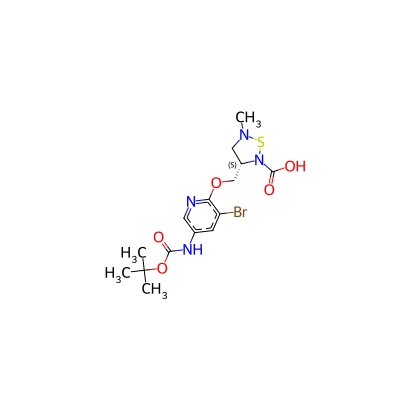 CN1C[C@@H](COc2ncc(NC(=O)OC(C)(C)C)cc2Br)N(C(=O)O)S1